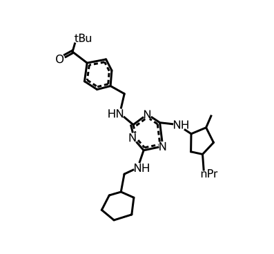 CCCC1CC(C)C(Nc2nc(NCc3ccc(C(=O)C(C)(C)C)cc3)nc(NCC3CCCCC3)n2)C1